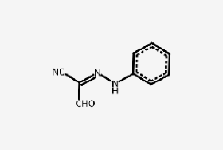 N#CC(C=O)=NNc1ccccc1